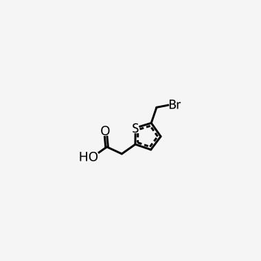 O=C(O)Cc1ccc(CBr)s1